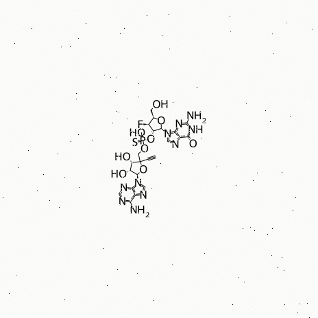 C#CC1(COP(O)(=S)O[C@@H]2[C@@H](F)[C@@H](CO)O[C@H]2n2cnc3c(=O)[nH]c(N)nc32)O[C@@H](n2cnc3c(N)ncnc32)[C@H](O)[C@@H]1O